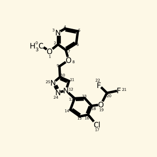 COc1ncccc1OCc1cn(-c2ccc(Cl)c(OC(F)F)c2)nn1